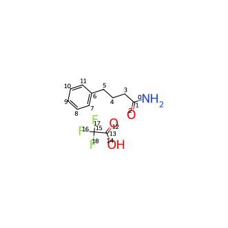 NC(=O)CCCc1ccccc1.O=C(O)C(F)(F)F